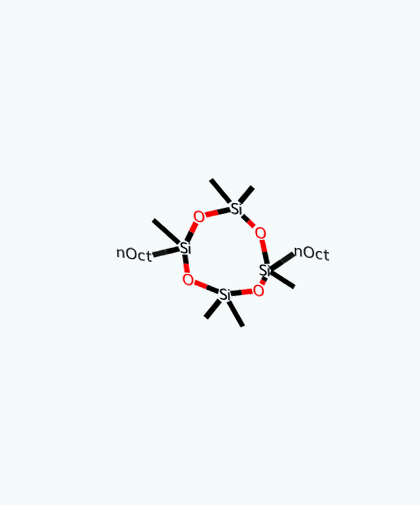 CCCCCCCC[Si]1(C)O[Si](C)(C)O[Si](C)(CCCCCCCC)O[Si](C)(C)O1